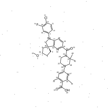 CO[C@H]1CC[C@@]2(C1)CN(c1ccc(Cl)c(F)c1)c1ccc(C(=O)N3CCN(c4cc(C)c(C(=O)O)c(C)n4)CC3(C)C)nc12